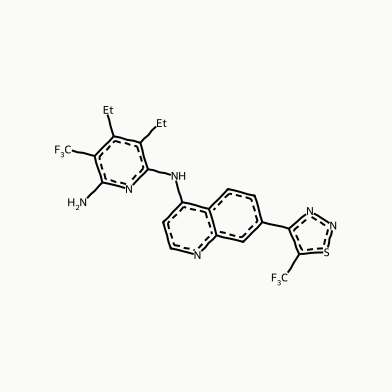 CCc1c(Nc2ccnc3cc(-c4nnsc4C(F)(F)F)ccc23)nc(N)c(C(F)(F)F)c1CC